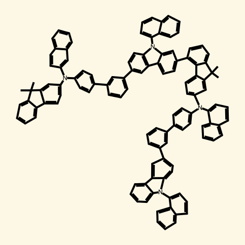 CC1(C)c2ccccc2-c2ccc(N(c3ccc(-c4cccc(-c5ccc6c(c5)c5ccc(-c7cccc8c7-c7ccc(N(c9ccc(-c%10cccc(-c%11ccc%12c(c%11)c%11ccccc%11n%12-c%11cccc%12ccccc%11%12)c%10)cc9)c9cccc%10ccccc9%10)cc7C8(C)C)cc5n6-c5cccc6ccccc56)c4)cc3)c3ccc4ccccc4c3)cc21